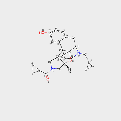 O=C(C1CC1)N1C[C@H]2OC34CCC1C2C31CCN(CC2CC2)C4Cc2ccc(O)cc21